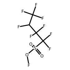 O=S(=O)(OF)C(F)(F)C(F)(F)C(F)C(F)(F)F